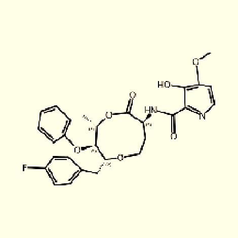 COc1ccnc(C(=O)N[C@H]2CCO[C@H](Cc3ccc(F)cc3)[C@@H](Oc3ccccc3)[C@H](C)OC2=O)c1O